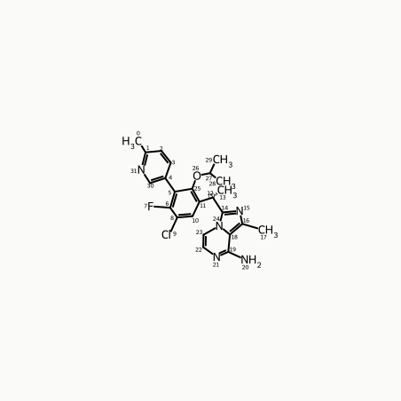 Cc1ccc(-c2c(F)c(Cl)cc([C@H](C)c3nc(C)c4c(N)nccn34)c2OC(C)C)cn1